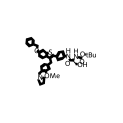 COc1cc(Cc2c(-c3ccc(NC(=O)[C@H](CO)NC(=O)OC(C)(C)C)cc3)sc3cc(OCc4ccccc4)ccc23)ccc1CN1CCCC1